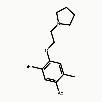 CC(=O)c1cc(C(C)C)c(OCCN2CCCC2)cc1C